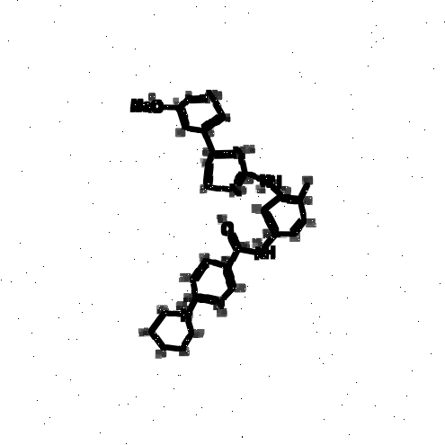 COc1cncc(-c2ccnc(Nc3cc(NC(=O)c4ccc(N5CCCCC5)nc4)ccc3C)n2)c1